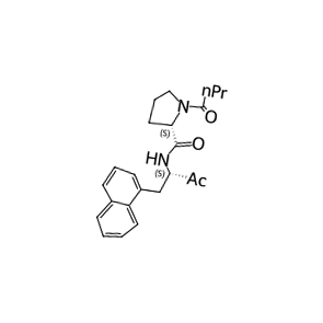 CCCC(=O)N1CCC[C@H]1C(=O)N[C@@H](Cc1cccc2ccccc12)C(C)=O